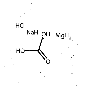 Cl.O=C(O)O.[MgH2].[NaH]